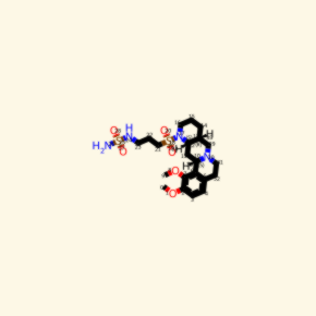 COc1ccc2c(c1OC)[C@@H]1C[C@H]3[C@H](CCCN3S(=O)(=O)CCCNS(N)(=O)=O)CN1CC2